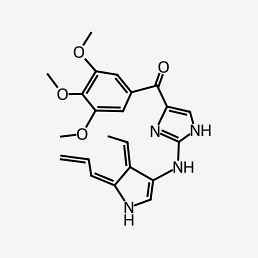 C=C/C=c1/[nH]cc(Nc2nc(C(=O)c3cc(OC)c(OC)c(OC)c3)c[nH]2)/c1=C/C